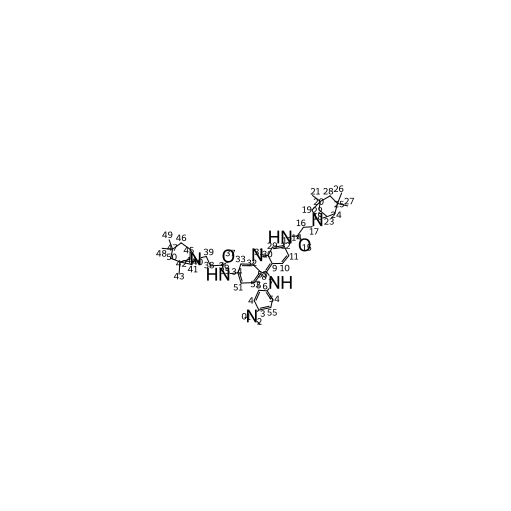 CN(C)c1ccc(Nc2c3ccc(NC(=O)CCN4CC5(C)CC4CC(C)(C)C5)cc3nc3cc(NC(=O)CCN4CC5(C)CC4CC(C)(C)C5)ccc23)cc1